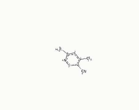 Cc1cc(C(F)(F)F)c(C#N)cn1